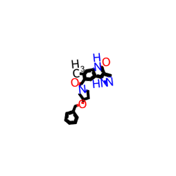 Cc1cc2[nH]c(=O)c3cn[nH]c3c2cc1C(=O)N1CCC(OCc2ccccc2)C1